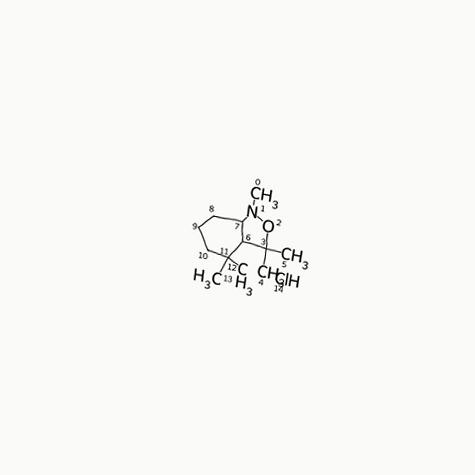 CN1OC(C)(C)C2C1CCCC2(C)C.Cl